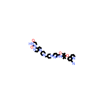 CC1(C)C(NC(=O)c2ccc(N3CCC(CN4CCC(n5ccc6c(N7CCC(=O)NC7=O)nccc65)CC4)CC3)nc2)C(C)(C)C1Oc1ccc(C#N)c2ncccc12